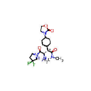 CN(C)C(=O)[C@@H](C1CCC(N2CCOC2=O)CC1)C(N)C(=O)N1CCC(F)(F)C1